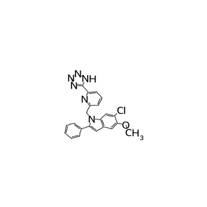 COc1cc2cc(-c3ccccc3)n(Cc3cccc(-c4nnn[nH]4)n3)c2cc1Cl